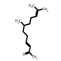 CC(=O)C=CCCC(C)CCC=C(C)C